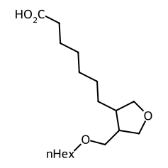 CCCCCCOCC1COCC1CCCCCCC(=O)O